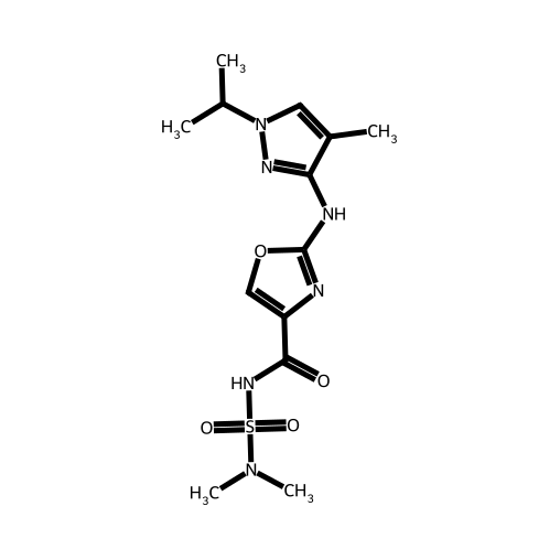 Cc1cn(C(C)C)nc1Nc1nc(C(=O)NS(=O)(=O)N(C)C)co1